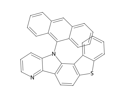 c1ccc2c(-n3c4cccnc4c4ccc5sc6ccccc6c5c43)c3ccccc3cc2c1